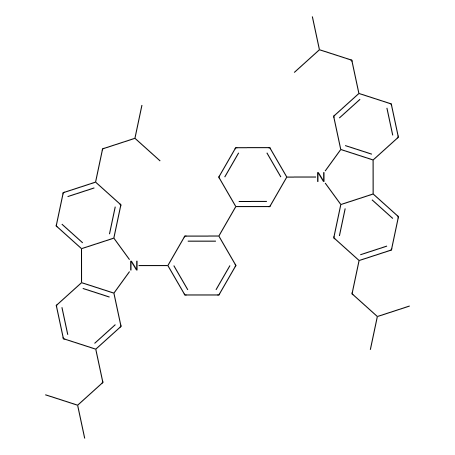 CC(C)Cc1ccc2c3ccc(CC(C)C)cc3n(-c3cccc(-c4cccc(-n5c6cc(CC(C)C)ccc6c6ccc(CC(C)C)cc65)c4)c3)c2c1